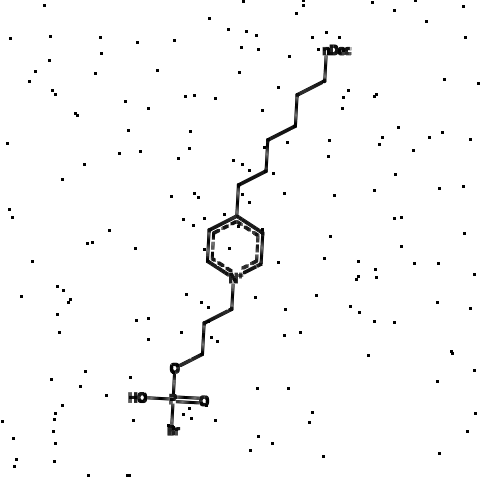 CCCCCCCCCCCCCCCCc1cc[n+](CCCOP(=O)(O)Br)cc1